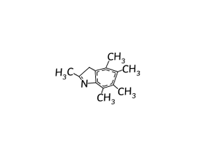 CC1=Nc2c(C)c(C)c(C)c(C)c2C1